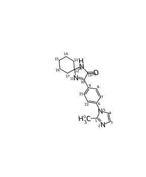 Cc1nccn1-c1ccc(C2=NC3(CCCCC3)NC2=O)cc1